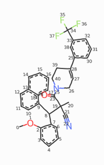 COc1ccccc1C(c1cccc2ccccc12)C(C)(C#N)C(=O)N1CC=C(c2cccc(C(F)(F)F)c2)CC1